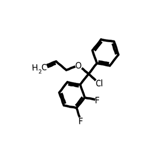 C=CCOC(Cl)(c1ccccc1)c1cccc(F)c1F